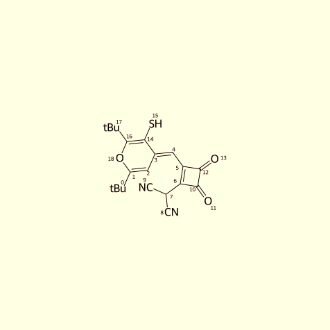 CC(C)(C)C1=CC(=Cc2c(C(C#N)C#N)c(=O)c2=O)C(S)=C(C(C)(C)C)O1